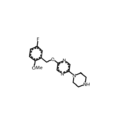 COc1ccc(F)cc1COc1cnc(N2CCNCC2)cn1